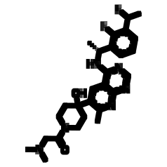 Cc1nc2ncnc(N[C@H](C)c3cccc(C(C)F)c3F)c2cc1C1(O)CCN(C(=O)CN(C)C)CC1